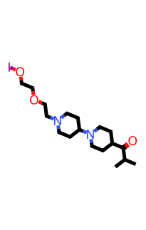 CC(C)C(=O)C1CCN(C2CCN(CCOCCOI)CC2)CC1